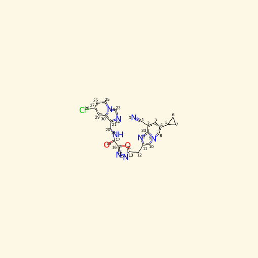 N#Cc1cc(C2CC2)cn2cc(Cc3nnc(C(=O)NCc4ncn5ccc(Cl)cc45)o3)nc12